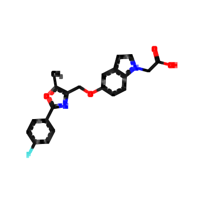 Cc1oc(-c2ccc(F)cc2)nc1COc1ccc2c(ccn2CC(=O)O)c1